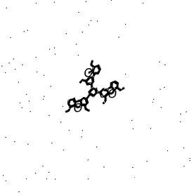 CCc1cccc2c1oc1c(CC)cc(-c3cc(-c4cc(CC)c5oc6c(CC)cccc6c5c4)cc(-c4cc(CC)c5oc6c(CC)cccc6c5c4)c3)cc12